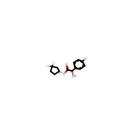 O=C(O[C@@H]1CCC(F)(F)C1)[C@H](O)c1ccc(F)cc1